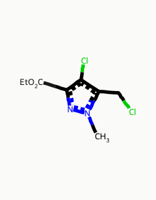 CCOC(=O)c1nn(C)c(CCl)c1Cl